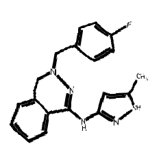 Cc1cc(NC2=NN(Cc3ccc(F)cc3)Cc3ccccc32)n[nH]1